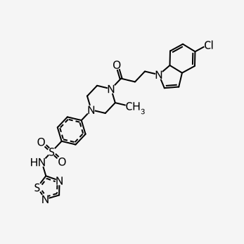 CC1CN(c2ccc(S(=O)(=O)Nc3ncns3)cc2)CCN1C(=O)CCN1C=CC2C=C(Cl)C=CC21